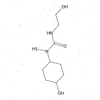 O=C(NCCO)N(S)C1CCC(O)CC1